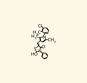 Cc1c(Cl)cccc1-n1c(C)cc(/C=C2/SC(O)N(c3ccccc3)C2=O)c1C